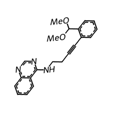 COC(OC)c1ccccc1C#CCCNc1ncnc2ccccc12